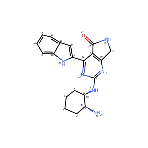 N[C@H]1CCCC[C@H]1Nc1nc2c(c(-c3cc4ccccc4[nH]3)n1)C(=O)NC2